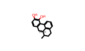 CC1CCc2cccc3c2[C@@H]1Cc1ccc(O)c(O)c1-3